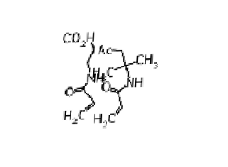 C=CC(=O)NC(C)(C)CC(C)=O.C=CC(=O)NCCC(=O)O